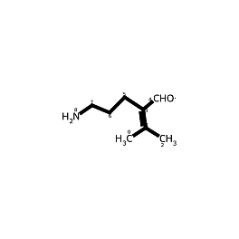 CC(C)=C([C]=O)CCCN